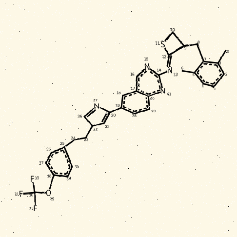 Cc1cccc(C)c1CC1CS/C1=N\c1ncc2cc(C3=CC(CCc4ccc(OC(F)(F)F)cc4)C=N3)ccc2n1